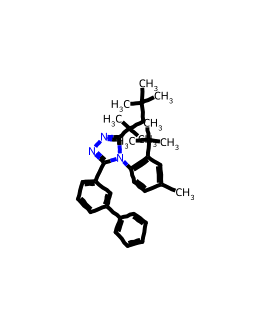 Cc1ccc(-n2c(-c3cccc(-c4ccccc4)c3)nnc2C(C)(C)CC(C)(C)C)c(C(C)(C)C)c1